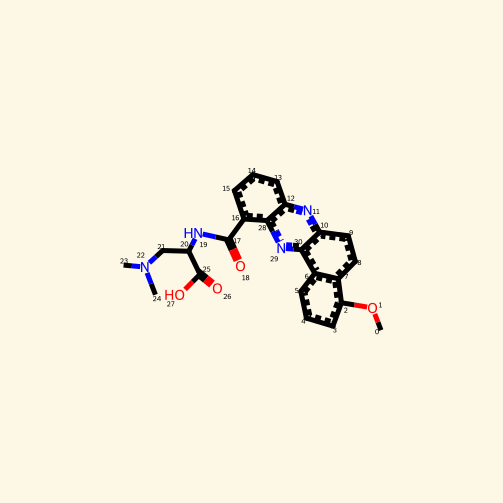 COc1cccc2c1ccc1nc3cccc(C(=O)NC(CN(C)C)C(=O)O)c3nc12